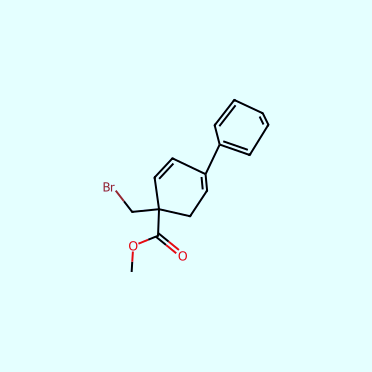 COC(=O)C1(CBr)C=CC(c2ccccc2)=CC1